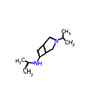 CC(C)NC1CC2CN(C(C)C)CC21